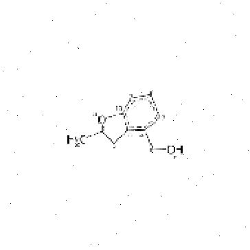 CC1Cc2c(CO)cccc2O1